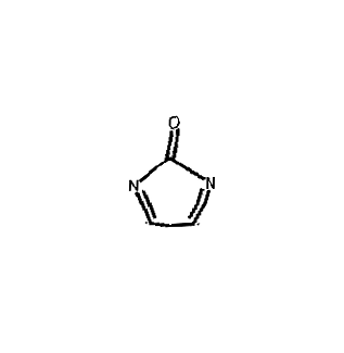 O=C1N=[C][C]=N1